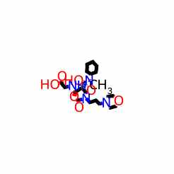 CN(/C(O)=C(/C(=O)NCC(=O)O)C(=O)N(C=O)CCCN1CCOCC1)C1CCCCC1